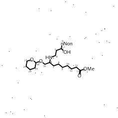 CCCCCCCCCC(O)CCNC(CCCCCCC(=O)OC)COC1CCCCO1